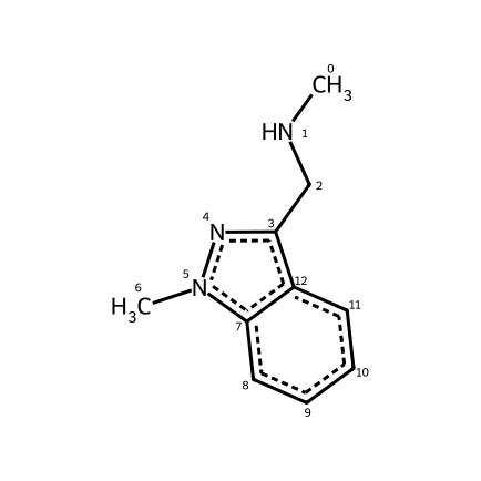 CNCc1nn(C)c2ccccc12